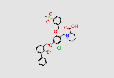 CS(=O)(=O)c1cccc(COc2cc(OCc3cccc(-c4ccccc4)c3Br)c(Cl)cc2CN2CCCCC2C(=O)O)c1